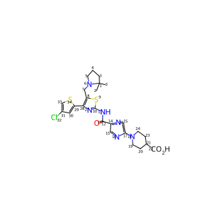 CC1(C)CCCN1Cc1sc(NC(=O)c2cnc(N3CCC(C(=O)O)CC3)cn2)nc1-c1cc(Cl)cs1